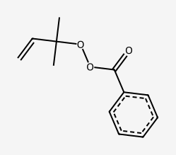 C=CC(C)(C)OOC(=O)c1ccccc1